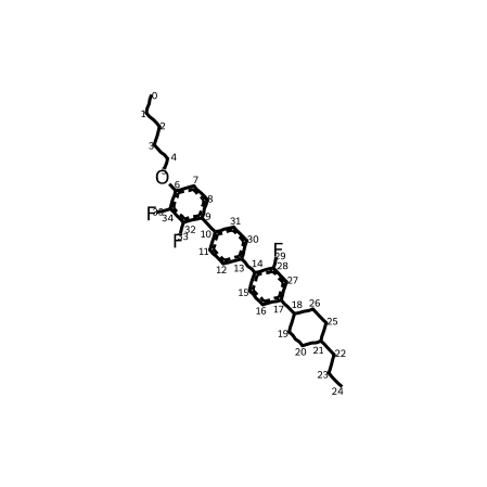 CCCCCOc1ccc(-c2ccc(-c3ccc(C4CCC(CCC)CC4)cc3F)cc2)c(F)c1F